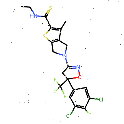 CCNC(=S)c1sc2c(c1C)CN(C1=NOC(c3cc(Cl)c(F)c(Cl)c3)(C(F)(F)F)C1)C2